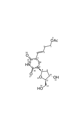 CC(=O)OCCC=Cc1cn([C@H]2C[C@H](O)[C@@H](CO)O2)c(=O)[nH]c1=O